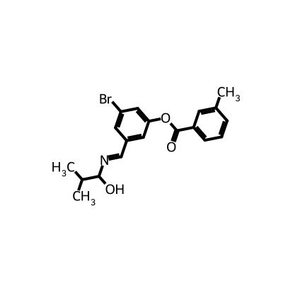 Cc1cccc(C(=O)Oc2cc(Br)cc(/C=N/C(O)C(C)C)c2)c1